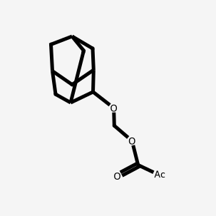 CC(=O)C(=O)OCOC1C2CC3CC(C2)CC1C3